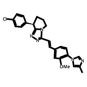 COc1cc(C=Cc2nnc3n2CCC[C@@H]3c2ccc(Cl)cc2)ccc1-n1cnc(C)c1